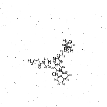 C=CC(=O)N1CCN(c2nc(OCCCN3C[C@H]4OC[C@@H]3[C@H]4I)nc3c2CCN(c2cccc4cccc(Cl)c24)C3)CC1